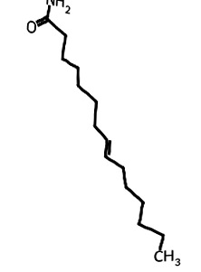 CCCCCC/C=C/CCCCCCC(N)=O